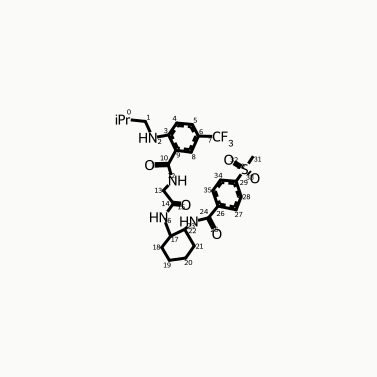 CC(C)CNc1ccc(C(F)(F)F)cc1C(=O)NCC(=O)NC1CCCCC1NC(=O)c1ccc(S(C)(=O)=O)cc1